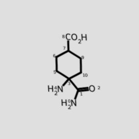 NC(=O)C1(N)CCC(C(=O)O)CC1